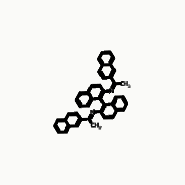 C/C(=N/c1ccc2ccccc2c1-c1c(/N=C(\C)c2ccc3ccccc3c2)ccc2ccccc12)c1ccc2ccccc2c1